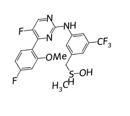 COc1cc(F)ccc1-c1nc(Nc2cc(C[SH](C)O)cc(C(F)(F)F)c2)ncc1F